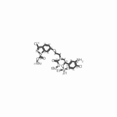 CC[Si](CC)(CC)O[C@@H](CN(CCOc1ccc2c(Cl)nn(C(=O)OC(C)(C)C)c2c1)C(=O)OC(C)(C)C)c1ccc(Cl)c(N)c1